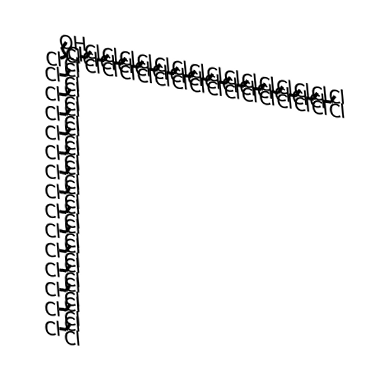 ClC(Cl)Cl.ClC(Cl)Cl.ClC(Cl)Cl.ClC(Cl)Cl.ClC(Cl)Cl.ClC(Cl)Cl.ClC(Cl)Cl.ClC(Cl)Cl.ClC(Cl)Cl.ClC(Cl)Cl.ClC(Cl)Cl.ClC(Cl)Cl.ClC(Cl)Cl.ClC(Cl)Cl.ClC(Cl)Cl.ClC(Cl)Cl.ClC(Cl)Cl.ClC(Cl)Cl.ClC(Cl)Cl.ClC(Cl)Cl.ClC(Cl)Cl.ClC(Cl)Cl.ClC(Cl)Cl.ClC(Cl)Cl.ClC(Cl)Cl.ClC(Cl)Cl.ClC(Cl)Cl.ClC(Cl)Cl.ClC(Cl)Cl.OCC(Cl)(Cl)Cl